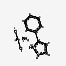 N.[Cl][Pt][Cl].c1ccc(-c2nnn[nH]2)cc1